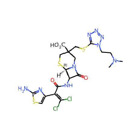 CN(C)CCn1nnnc1SCC1(C(=O)O)CS[C@@H]2C(NC(=O)C(=C(Cl)Cl)c3csc(N)n3)C(=O)N2C1